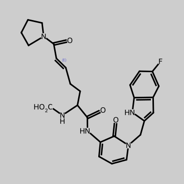 O=C(O)NC(CC/C=C/C(=O)N1CCCC1)C(=O)Nc1cccn(Cc2cc3cc(F)ccc3[nH]2)c1=O